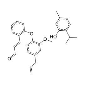 C=CCc1ccc(Oc2ccccc2C=CC=O)c(OC)c1.Cc1ccc(C(C)C)c(O)c1